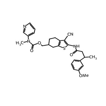 COc1cccc(C(C)CC(=O)Nc2sc3c(c2C#N)CCC(COC(=O)N(C)c2cccnc2)C3)c1